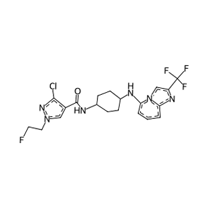 O=C(NC1CCC(Nc2cccc3nc(C(F)(F)F)cn23)CC1)c1cn(CCF)nc1Cl